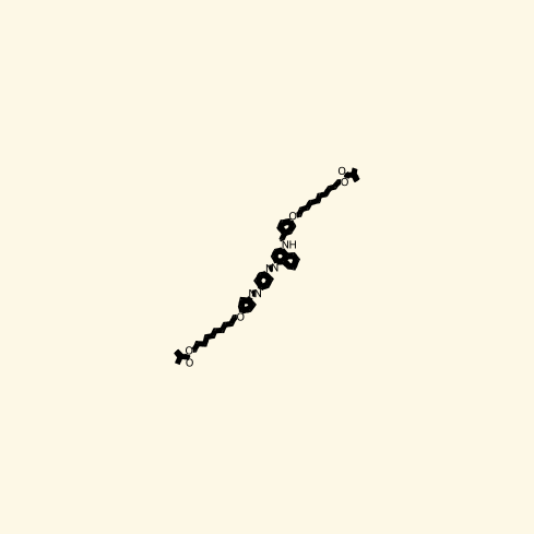 C=C(C)C(=O)OCCCCCCCCCCOc1ccc(CNc2ccc(/N=N/c3ccc(/N=N/c4ccc(OCCCCCCCCCCOC(=O)C(=C)C)cc4)cc3)c3ccccc23)cc1